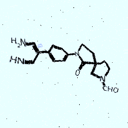 N=C/C(=C\N)c1ccc(N2CCC3(CCN(C=O)C3)C2=O)cc1